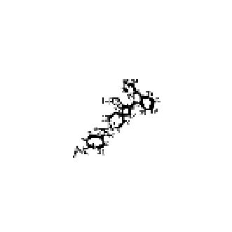 CC(=O)N1CCC(S(C)(C)N2CCC3(CC2)CC(C2c4ccccc4-c4cncn42)C3O)CC1